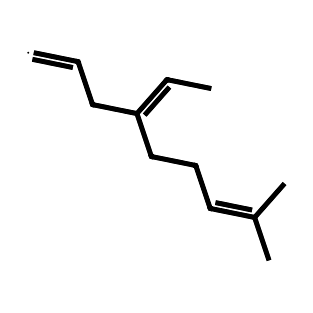 [CH]=CCC(=CC)CCC=C(C)C